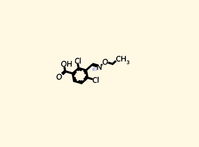 CCO/N=C/c1c(Cl)ccc(C(=O)O)c1Cl